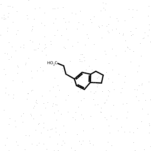 O=C(O)CCc1ccc2c(c1)CCC2